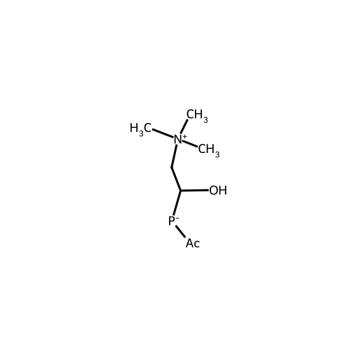 CC(=O)[P-]C(O)C[N+](C)(C)C